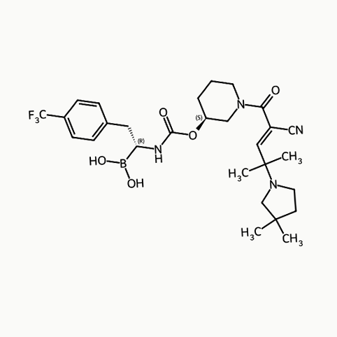 CC1(C)CCN(C(C)(C)C=C(C#N)C(=O)N2CCC[C@H](OC(=O)N[C@@H](Cc3ccc(C(F)(F)F)cc3)B(O)O)C2)C1